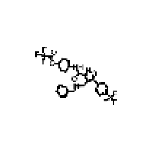 O=C(NC1CCC(OC(=O)C(F)(F)F)CC1)c1noc(-c2ccc(C(F)(F)F)cc2)c1CNCc1ccccc1